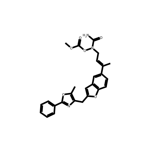 COC(=O)ON(CC=C(C)c1ccc2oc(Cc3nc(-c4ccccc4)oc3C)cc2c1)C(N)=O